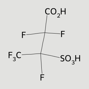 O=C(O)C(F)(F)C(F)(C(F)(F)F)S(=O)(=O)O